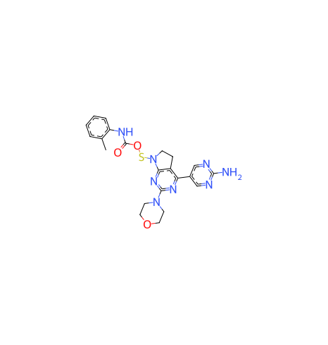 Cc1ccccc1NC(=O)OSN1CCc2c(-c3cnc(N)nc3)nc(N3CCOCC3)nc21